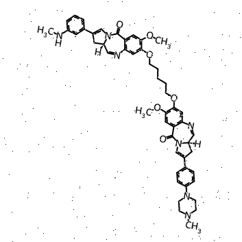 CNc1cccc(C2=CN3C(=O)c4cc(OC)c(OCCCCCOc5cc6c(cc5OC)C(=O)N5C=C(c7ccc(N8CCN(C)CC8)cc7)C[C@H]5C=N6)cc4N=C[C@@H]3C2)c1